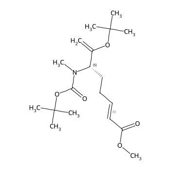 C=C(OC(C)(C)C)[C@H](CC/C=C/C(=O)OC)N(C)C(=O)OC(C)(C)C